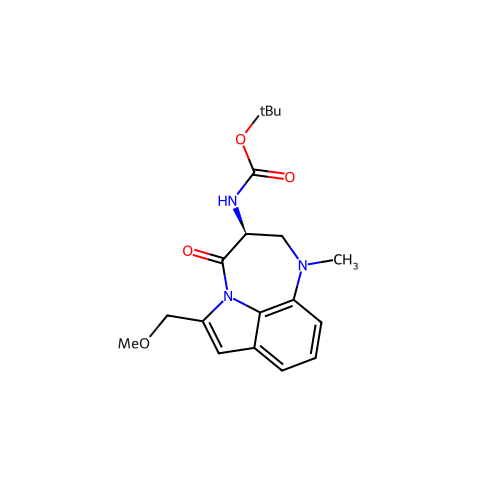 COCc1cc2cccc3c2n1C(=O)[C@@H](NC(=O)OC(C)(C)C)CN3C